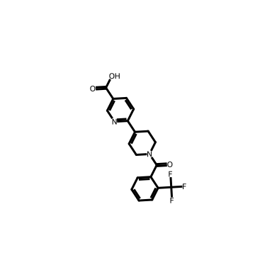 O=C(O)c1ccc(C2=CCN(C(=O)c3ccccc3C(F)(F)F)CC2)nc1